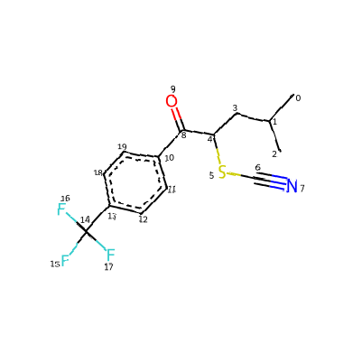 CC(C)CC(SC#N)C(=O)c1ccc(C(F)(F)F)cc1